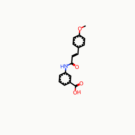 COc1ccc(C=CC(=O)Nc2cccc(C(=O)O)c2)cc1